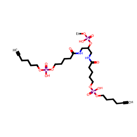 C#CCCCCOP(=O)(O)OCCCCC(=O)NCC(CNC(=O)CCCCOP(=O)(O)OCCCCC#C)OP(=O)(O)OCC